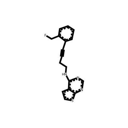 FCc1ccccc1C#CCCNc1ncnc2sccc12